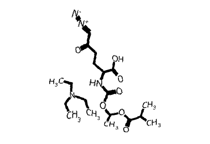 CC(OC(=O)NC(CCC(=O)C=[N+]=[N-])C(=O)O)OC(=O)C(C)C.CCN(CC)CC